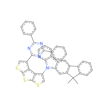 CC1(C)c2ccccc2-c2cc3c4ccccc4n(-c4csc5sc6scc(-c7nc(-c8ccccc8)nc(-c8ccccc8)n7)c6c45)c3cc21